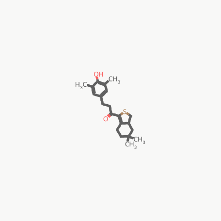 Cc1cc(CCC(=O)C2=C3CCC(C)(C)CC3CS2)cc(C)c1O